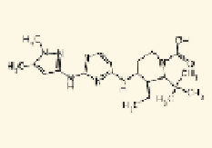 CCC1C(Nc2ccnc(Nc3cc(C)n(C)n3)n2)CCN(C(=O)O)C1C(C)(C)C